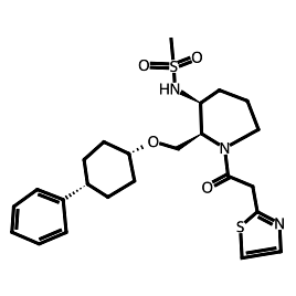 CS(=O)(=O)N[C@H]1CCCN(C(=O)Cc2nccs2)[C@H]1CO[C@H]1CC[C@@H](c2ccccc2)CC1